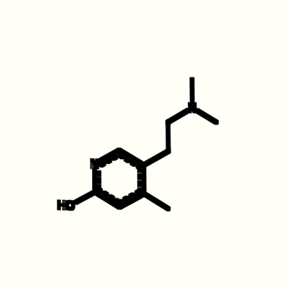 Cc1cc(O)ncc1CCN(C)C